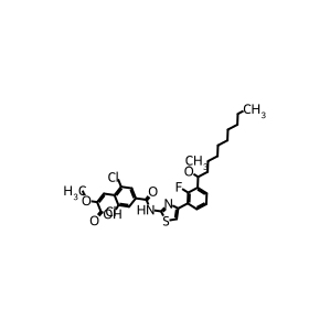 CCCCCCCCCC(OC)c1cccc(-c2csc(NC(=O)c3cc(Cl)c(/C=C(/OC)C(=O)O)c(Cl)c3)n2)c1F